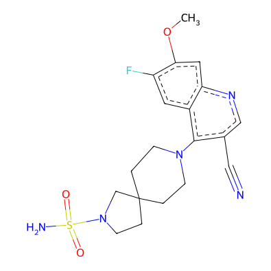 COc1cc2ncc(C#N)c(N3CCC4(CC3)CCN(S(N)(=O)=O)C4)c2cc1F